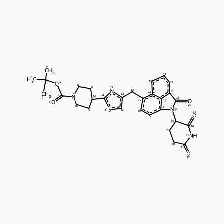 CC(C)(C)OC(=O)N1CCC(c2nc(Cc3ccc4c5c(cccc35)C(=O)N4C3CCC(=O)NC3=O)cs2)CC1